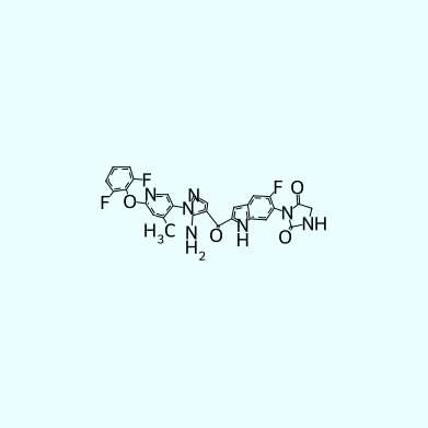 Cc1cc(Oc2c(F)cccc2F)ncc1-n1ncc(C(=O)c2cc3cc(F)c(N4C(=O)CNC4=O)cc3[nH]2)c1N